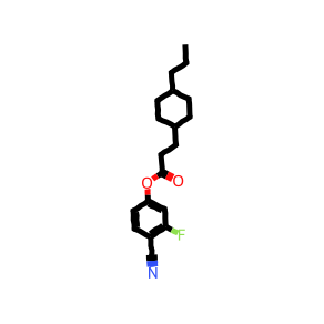 CCCC1CCC(CCC(=O)Oc2ccc(C#N)c(F)c2)CC1